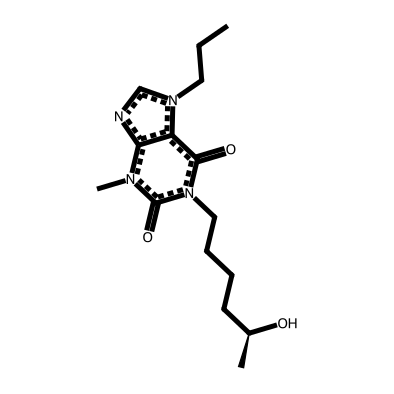 CCCn1cnc2c1c(=O)n(CCCC[C@H](C)O)c(=O)n2C